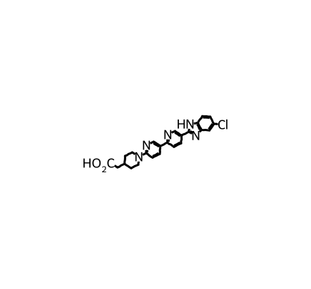 O=C(O)CC1CCN(c2ccc(-c3ccc(-c4nc5cc(Cl)ccc5[nH]4)cn3)cn2)CC1